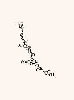 C=CC(=O)OCCCCOC(=O)c1ccc(C(=O)Oc2ccc(OC(=O)N3CCN(C(=O)Oc4ccc(OC(=O)c5ccc(OCCCCOC(=O)C=C)cc5)c(C(C)=O)c4)CC3)cc2C(=O)OC)cc1